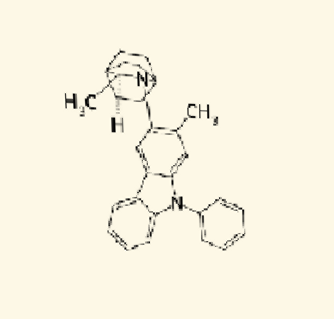 Cc1cc2c(cc1N1[C@@H](C)C34CCC1(CC3)CC4)c1ccccc1n2-c1ccccc1